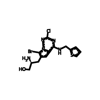 N[C@@H](CO)Cc1cc2c(NCc3cccs3)nc(Cl)nn2c1Br